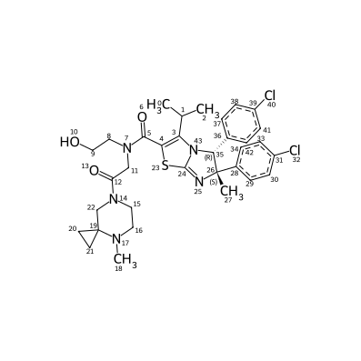 CC(C)C1=C(C(=O)N(CCO)CC(=O)N2CCN(C)C3(CC3)C2)SC2=N[C@@](C)(c3ccc(Cl)cc3)[C@@H](c3ccc(Cl)cc3)N21